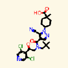 CC(C)(C)CN(CC(=O)c1c(Cl)cncc1Cl)C(=O)c1cnn(C2CCC(C)(C(=O)O)CC2)c1C#N